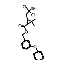 CCCC(Cl)(Cl)CC1C(C(=O)OCc2cccc(Oc3ccccc3)c2)C1(C)C